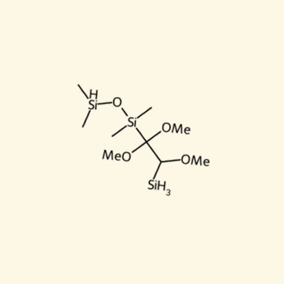 COC([SiH3])C(OC)(OC)[Si](C)(C)O[SiH](C)C